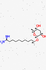 C[C@H](CCCCCCCCC(=N)N)O[C@@H]1O[C@@H](C)[C@H](O)C[C@H]1O